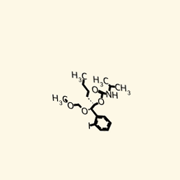 CCCC[C@H](OC(=O)NC(C)C)[C@@H](OCOC)c1ccccc1I